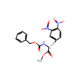 COC(=O)[C@@H](Cc1ccc([N+](=O)[O-])c([N+](=O)[O-])c1)NC(=O)OCc1ccccc1